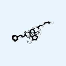 C#CCOCC(=O)O[C@@H]1C[C@]2(C(C)C)OC1(C)[C@@H]1CC[C@@H](C)[C@H]1[C@@H]2OC(=O)/C=C/c1ccccc1